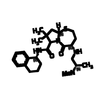 CN[C@@H](C)CN[C@H]1CCS[C@H]2CC(C)(C)C(C(=O)N[C@@H]3CCCc4ccccc43)N2C1=O